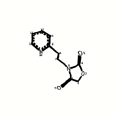 O=C1COC(=O)N1CCc1ccccn1